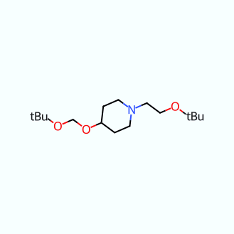 CC(C)(C)OCCN1CCC(OCOC(C)(C)C)CC1